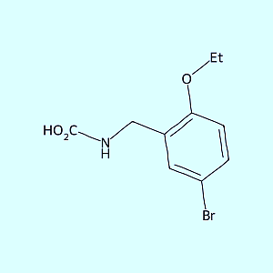 CCOc1ccc(Br)cc1CNC(=O)O